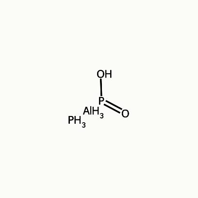 O=PO.P.[AlH3]